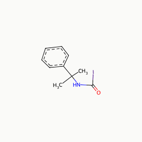 CC(C)(NC(=O)I)c1ccccc1